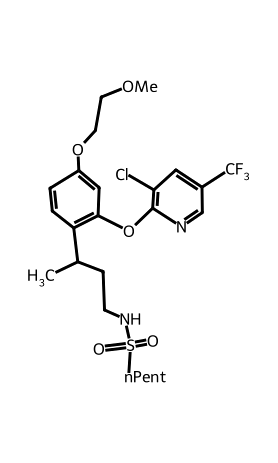 CCCCCS(=O)(=O)NCCC(C)c1ccc(OCCOC)cc1Oc1ncc(C(F)(F)F)cc1Cl